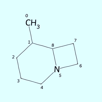 CC1CCCN2CCC12